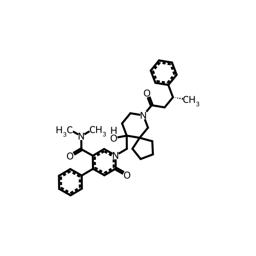 C[C@H](CC(=O)N1CCC(O)(Cn2cc(C(=O)N(C)C)c(-c3ccccc3)cc2=O)C2(CCCC2)C1)c1ccccc1